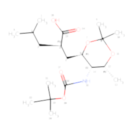 CC(C)C[C@H](C[C@H]1OC(C)(C)O[C@H](C)[C@@H]1NC(=O)OC(C)(C)C)C(=O)O